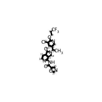 CC(c1cnc(OCCC(F)(F)F)c(Cl)c1)N1Cc2c(ccnc2NC(=O)c2cnco2)C1=O